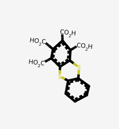 O=C(O)c1c2c(c(C(=O)O)c(C(=O)O)c1C(=O)O)Sc1ccccc1S2